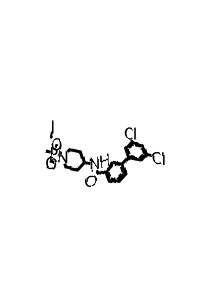 CP(=O)(OCI)N1CCC(NC(=O)c2cccc(-c3cc(Cl)cc(Cl)c3)c2)CC1